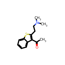 CC(=O)c1c(CCN(C)C)sc2ccccc12